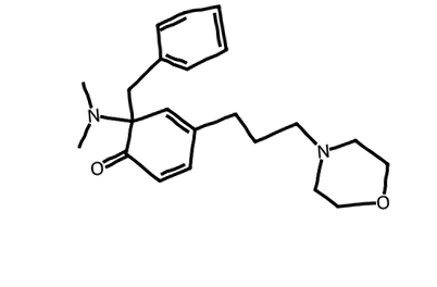 CN(C)C1(Cc2ccccc2)C=C(CCCN2CCOCC2)C=CC1=O